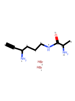 Br.Br.C#CC(N)CCCNC(=O)C(C)N